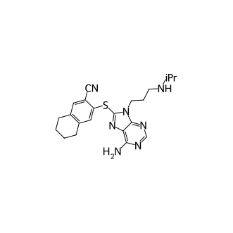 CC(C)NCCCn1c(Sc2cc3c(cc2C#N)CCCC3)nc2c(N)ncnc21